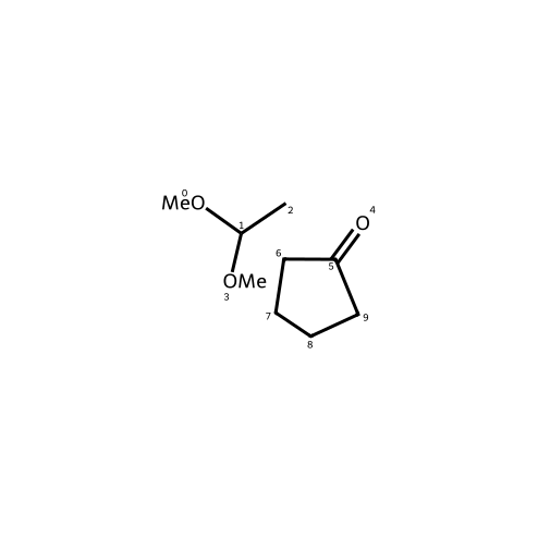 COC(C)OC.O=C1CCCC1